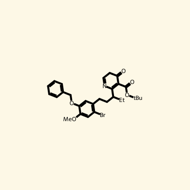 CCC(CCc1cc(OCc2ccccc2)c(OC)cc1Br)C1=C(C(=O)OC(C)(C)C)C(=O)CC=N1